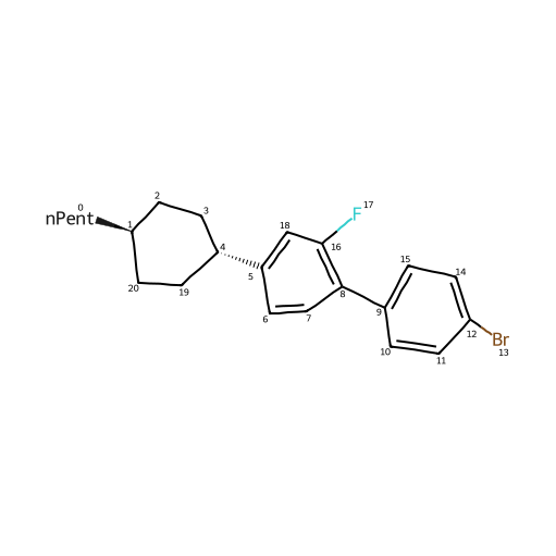 CCCCC[C@H]1CC[C@H](c2ccc(-c3ccc(Br)cc3)c(F)c2)CC1